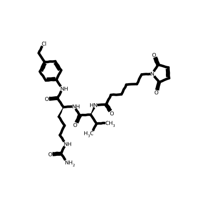 CC(C)[C@H](NC(=O)CCCCCN1C(=O)C=CC1=O)C(=O)N[C@@H](CCCNC(N)=O)C(=O)Nc1ccc(CCl)cc1